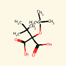 CC(C)(C)C(O[Si](C)(C)C)(C(=O)O)C(=O)O